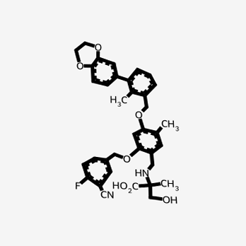 Cc1cc(CNC(C)(CO)C(=O)O)c(OCc2ccc(F)c(C#N)c2)cc1OCc1cccc(-c2ccc3c(c2)OCCO3)c1C